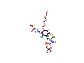 COCCOCOc1cc2c(c(F)c1NCC(=O)OC)C[C@H](NC(=O)OC(C)(C)C)CS2